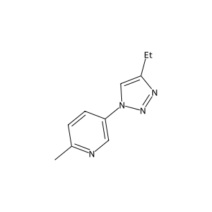 CCc1cn(-c2ccc(C)nc2)nn1